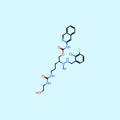 CC(=O)N(NCc1cccc(F)c1Cl)[C@@H](CCCNC(=O)NCCO)COC(=O)Nc1cc2ccccc2cn1